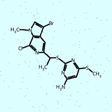 CSc1cc(N)nc(SC(C)c2cc3c(Br)cn(C)c3c(Cl)n2)n1